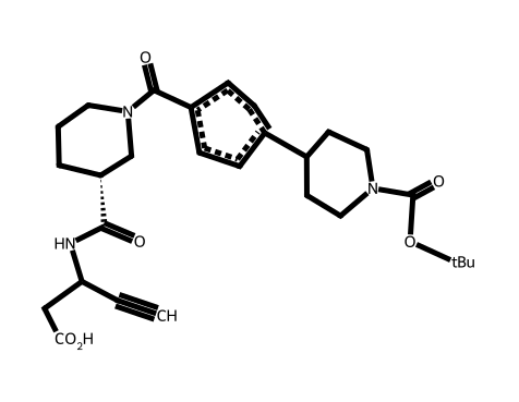 C#CC(CC(=O)O)NC(=O)[C@@H]1CCCN(C(=O)c2ccc(C3CCN(C(=O)OC(C)(C)C)CC3)cc2)C1